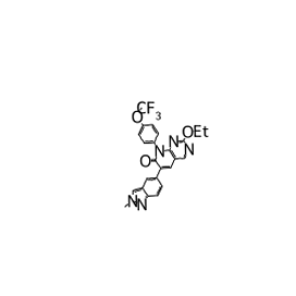 CCOc1ncc2cc(-c3ccc4nn(C)cc4c3)c(=O)n(-c3ccc(OC(F)(F)F)cc3)c2n1